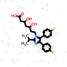 CC(C)c1nc(-c2ccc(F)cc2)c(-c2ccc(F)cc2)n1CCC(O)CC(O)CC(=O)O